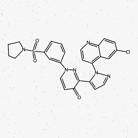 O=c1ccn(-c2cccc(S(=O)(=O)N3CCCC3)c2)nc1-c1ccnn1-c1ccnc2ccc(Cl)cc12